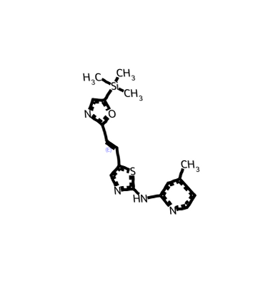 Cc1ccnc(Nc2ncc(/C=C/c3ncc([Si](C)(C)C)o3)s2)c1